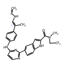 C=NN/C=C(\C)c1ccc(Nc2ccnc(-c3ccc4[nH]c(C(=O)N(C)CC(F)(F)F)cc4c3)n2)cc1